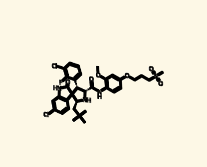 COc1cc(OCCCS(C)(=O)=O)ccc1NC(=O)[C@@H]1N[C@@H](CC(C)(C)C)C2(C(=O)Nc3cc(Cl)ccc32)[C@@H]1c1cccc(Cl)c1F